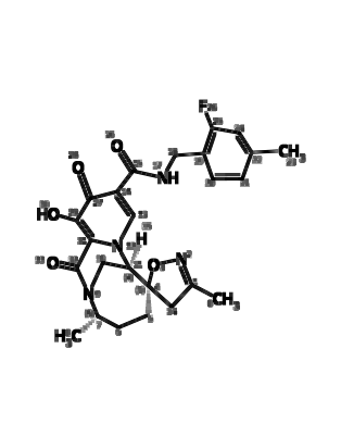 CC1=NO[C@@]2(CC[C@H](C)N3C[C@H]2n2cc(C(=O)NCc4ccc(C)cc4F)c(=O)c(O)c2C3=O)C1